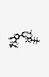 Cn1nc(C(F)(F)C(F)(F)F)c(OC(F)F)c1N/C=C(\C=N)c1cnc(C#N)c(C(=O)NC2(C#N)CC2)c1